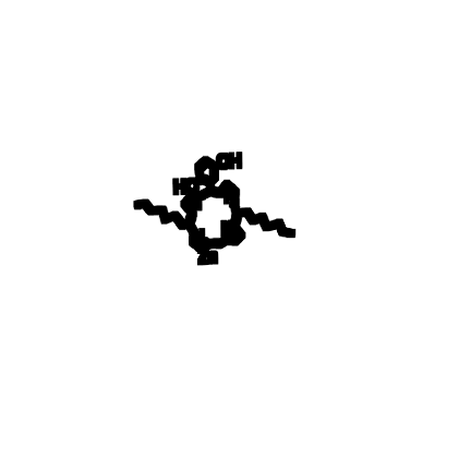 CCCCCCCC1=C2C=CC(=N2)C=C2C=CC(=N2)C(CCCCCCC)=C2C=CC(=N2)C(c2cc(O)ccc2O)=C2C=CC1=N2.[Zn]